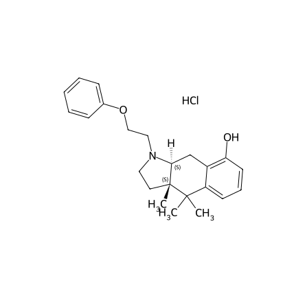 CC1(C)c2cccc(O)c2C[C@@H]2N(CCOc3ccccc3)CC[C@]21C.Cl